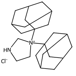 C1C[N+](C23CC4CC(CC(C4)C2)C3)(C23CC4CC(CC(C4)C2)C3)CN1.[Cl-]